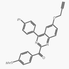 C#CCOc1ccc2nc(C(=O)c3ccc(SC)cc3)nc(-c3ccc(C(C)C)cc3)c2c1